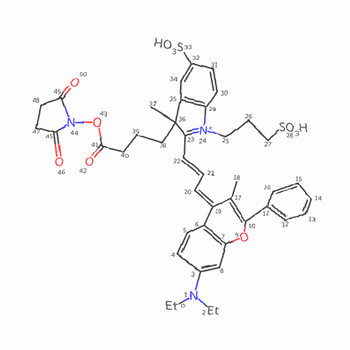 CCN(CC)c1ccc2c(c1)OC(c1ccccc1)=C(C)/C2=C\C=C\C1=[N+](CCCS(=O)(=O)O)c2ccc(S(=O)(=O)O)cc2C1(C)CCCC(=O)ON1C(=O)CCC1=O